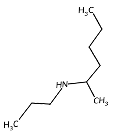 CCCCC(C)NCCC